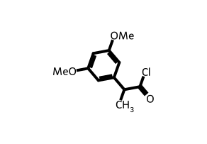 COc1cc(OC)cc(C(C)C(=O)Cl)c1